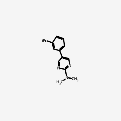 CC(C)c1cccc(-c2cnc(N(C)C)nc2)c1